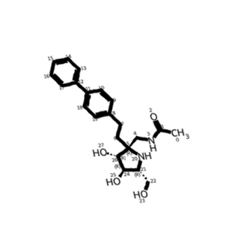 CC(=O)NC[C@@]1(CCc2ccc(-c3ccccc3)cc2)N[C@H](CO)[C@@H](O)[C@@H]1O